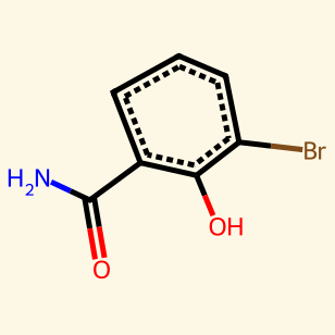 NC(=O)c1cccc(Br)c1O